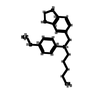 CCCCCN(Cc1ccc2c(c1)OCO2)c1ccc(OC)cc1